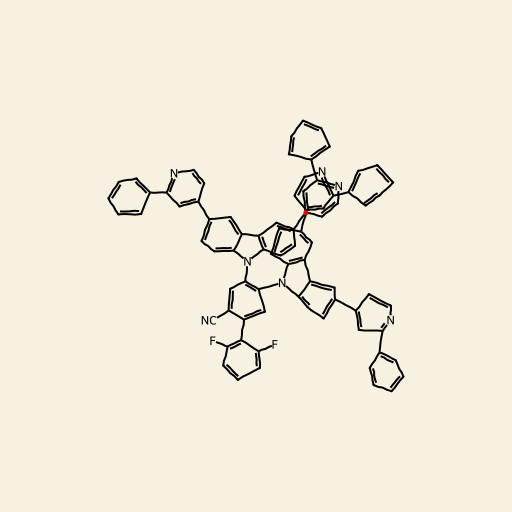 N#Cc1cc(-n2c3ccc(-c4ccnc(-c5ccccc5)c4)cc3c3cc(-c4ccnc(-c5ccccc5)c4)ccc32)c(-n2c3ccc(-c4ccnc(-c5ccccc5)c4)cc3c3cc(-c4ccnc(-c5ccccc5)c4)ccc32)cc1-c1c(F)cccc1F